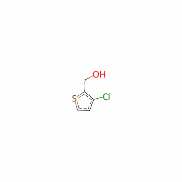 OCc1sccc1Cl